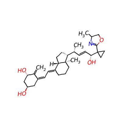 C=C1/C(=C\C=C2/CCC[C@]3(C)[C@@H]([C@H](C)/C=C/[C@@H](O)C4(C5=NC(C)CO5)CC4)CC[C@@H]23)C[C@@H](O)C[C@@H]1O